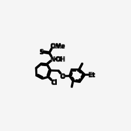 CCc1cc(C)c(OCC2=C(Cl)C=CCC=C2N(O)C(=S)OC)cc1C